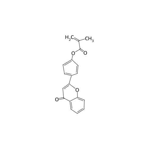 C=C(C)C(=O)Oc1ccc(-c2cc(=O)c3ccccc3o2)cc1